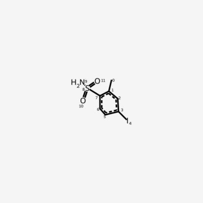 Cc1cc(I)ccc1S(N)(=O)=O